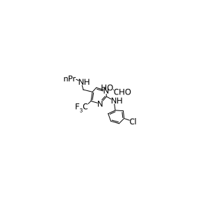 CCCNCc1cnc(Nc2cccc(Cl)c2)nc1C(F)(F)F.O=CO